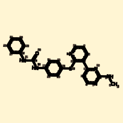 CNc1nccc(-c2cccnc2Sc2ccc(NC(=O)Nc3ccccc3)cc2)n1